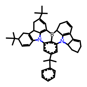 CC(C)(C)C1=CC2=C3C(C1)C1=C(C=CC(C(C)(C)C)C1)N3c1cc(C(C)(C)c3ccccc3)cc3c1B2C1CC=CC2=C1N3C1CCCC=C21